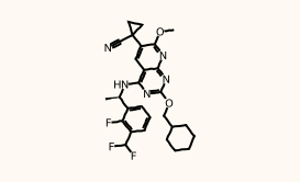 COc1nc2nc(OCC3CCCCC3)nc(N[C@H](C)c3cccc(C(F)F)c3F)c2cc1C1(C#N)CC1